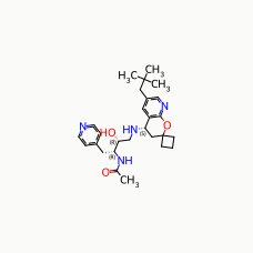 CC(=O)N[C@H](Cc1ccncc1)[C@H](O)CN[C@H]1CC2(CCC2)Oc2ncc(CC(C)(C)C)cc21